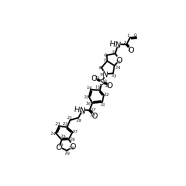 C=CC(=O)NC1CC2CN(S(=O)(=O)c3ccc(C(=O)NCCc4ccc5c(c4)OCO5)cc3)CC2O1